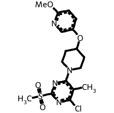 COc1ccc(OC2CCN(c3nc(S(C)(=O)=O)nc(Cl)c3C)CC2)cn1